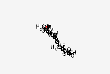 CN(C)C(=O)c1cc2cnc(Nc3ccc(N4CCC(N(C)Cc5ccc6c(c5F)CN(C5CCC(=O)NC5=O)C6=O)CC4)cn3)nc2n1C1CCCC1